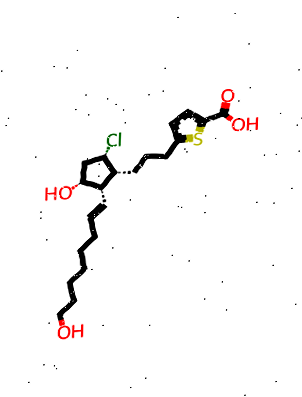 O=C(O)c1ccc(CCC[C@@H]2[C@H](C=CCCCCCCO)[C@H](O)C[C@@H]2Cl)s1